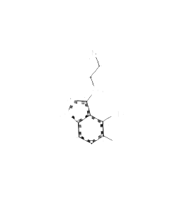 NCCOc1noc2ccc(Cl)c(Cl)c12